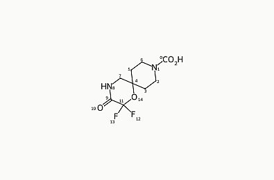 O=C(O)N1CCC2(CC1)CNC(=O)C(F)(F)O2